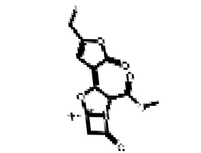 COC(=O)C1C(=C2C=C(CI)OC2=O)O[C@@H]2CC(=O)N12